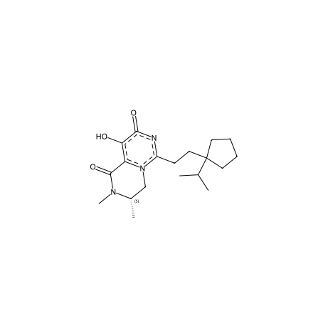 CC(C)C1(CCc2nc(=O)c(O)c3n2C[C@H](C)N(C)C3=O)CCCC1